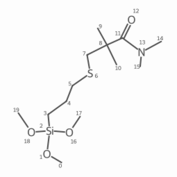 CO[Si](CCCSCC(C)(C)C(=O)N(C)C)(OC)OC